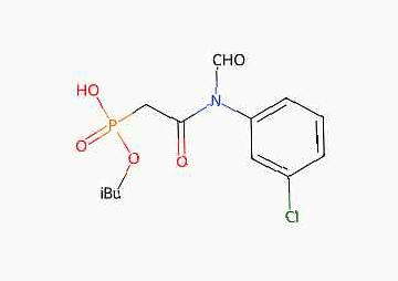 CCC(C)OP(=O)(O)CC(=O)N(C=O)c1cccc(Cl)c1